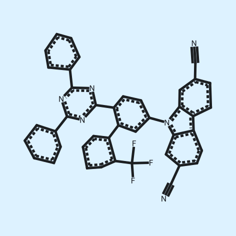 N#Cc1ccc2c3ccc(C#N)cc3n(-c3ccc(-c4nc(-c5ccccc5)nc(-c5ccccc5)n4)c(-c4ccccc4C(F)(F)F)c3)c2c1